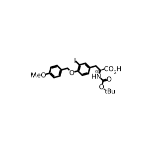 COc1ccc(COc2ccc(C[C@H](NC(=O)OC(C)(C)C)C(=O)O)cc2I)cc1